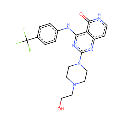 O=c1[nH]ccc2nc(N3CCN(CCO)CC3)nc(Nc3ccc(C(F)(F)F)cc3)c12